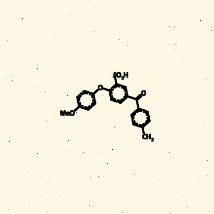 COc1ccc(Oc2ccc(C(=O)c3ccc(C)cc3)cc2S(=O)(=O)O)cc1